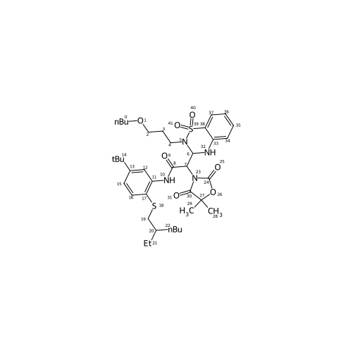 CCCCOCCCN1C(C(C(=O)Nc2cc(C(C)(C)C)ccc2SCC(CC)CCCC)N2C(=O)OC(C)(C)C2=O)Nc2ccccc2S1(=O)=O